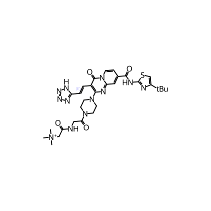 CC(C)(C)c1csc(NC(=O)c2ccn3c(=O)c(/C=C/c4nnn[nH]4)c(N4CCN(C(=O)CNC(=O)C[N+](C)(C)C)CC4)nc3c2)n1